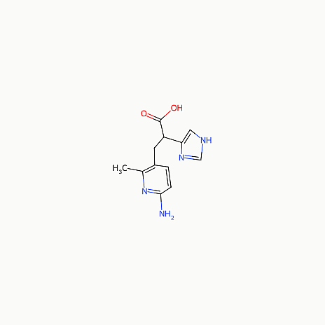 Cc1nc(N)ccc1CC(C(=O)O)c1c[nH]cn1